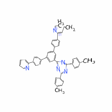 C=C/C=C(\N=C/C)c1ccc(-c2cc(-c3ccc(-c4ccccn4)cc3)cc(-c3nc(-c4ccc(C)cc4)nc(-c4ccc(C)cc4)n3)c2)cc1